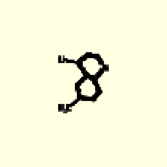 [Li][c]1ccnc2ccc(C)cc12